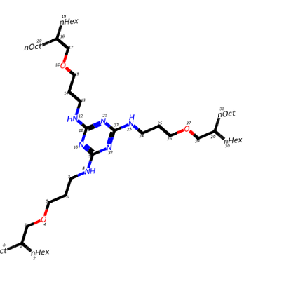 CCCCCCCCC(CCCCCC)COCCCNc1nc(NCCCOCC(CCCCCC)CCCCCCCC)nc(NCCCOCC(CCCCCC)CCCCCCCC)n1